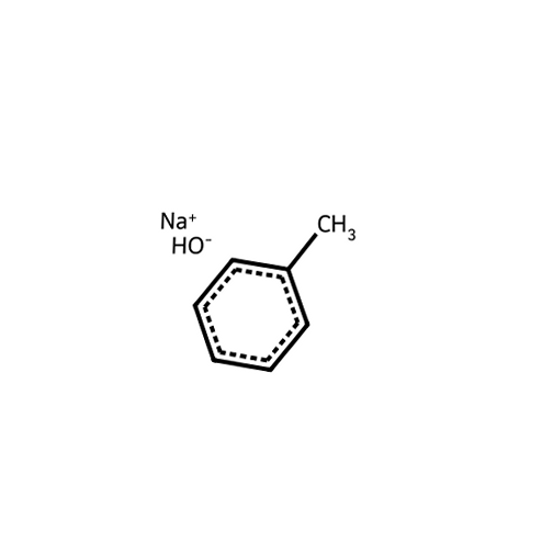 Cc1ccccc1.[Na+].[OH-]